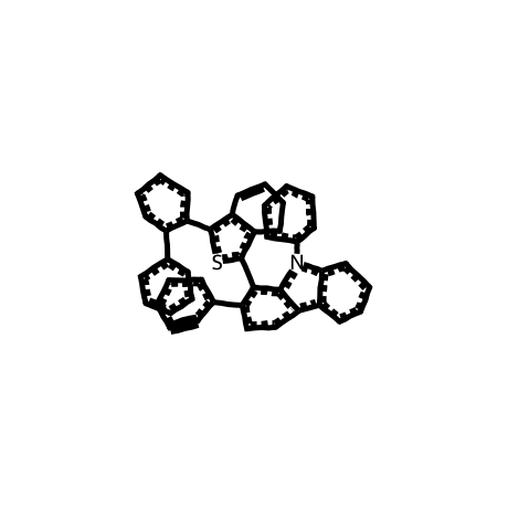 c1cccc(-c2ccc3c4ccccc4n(-c4ccccc4)c3c2-c2sc(-c3ccccc3-c3ccccc3)c3c2CCC=C3)c#1